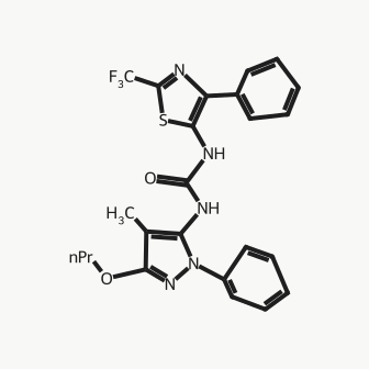 CCCOc1nn(-c2ccccc2)c(NC(=O)Nc2sc(C(F)(F)F)nc2-c2ccccc2)c1C